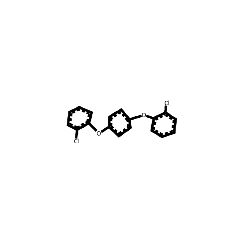 Clc1ccccc1Oc1ccc(Oc2ccccc2Cl)cc1